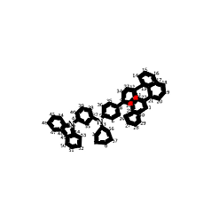 c1ccc(N(c2ccc(-c3ccc(-c4cccc5cccc(-c6ccc7ccccc7c6)c45)cc3)cc2)c2cccc(-n3c4ccccc4c4ccccc43)c2)cc1